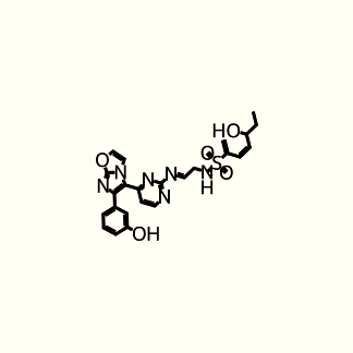 C=C(/C=C\C(O)CC)S(=O)(=O)NC/C=N/c1nccc(-c2c(-c3cccc(O)c3)nc3occn23)n1